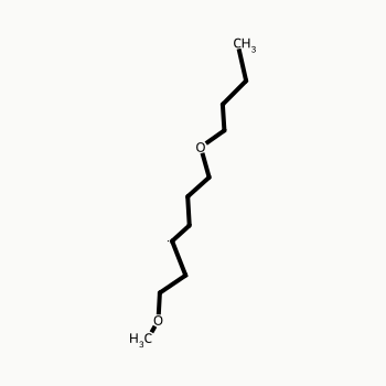 CCCCOCCC[CH]CCOC